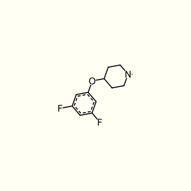 Fc1cc(F)cc(OC2CC[N]CC2)c1